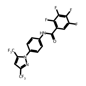 O=C(Nc1ccc(-n2nc(C(F)(F)F)cc2C(F)(F)F)cc1)c1cc(F)c(F)c(F)c1F